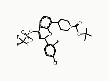 CC(C)(C)OC(=O)N1CCC(c2cccc3c2OC(c2ccc(Cl)cc2F)C=C3OS(=O)(=O)C(F)(F)F)CC1